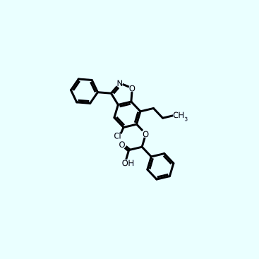 CCCc1c(OC(C(=O)O)c2ccccc2)c(Cl)cc2c(-c3ccccc3)noc12